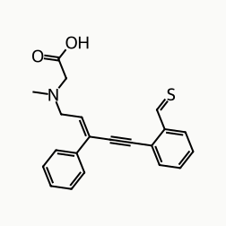 CN(CC=C(C#Cc1ccccc1C=S)c1ccccc1)CC(=O)O